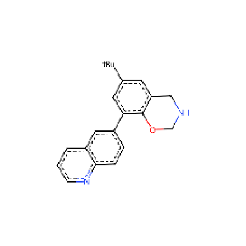 CC(C)(C)c1cc2c(c(-c3ccc4ncccc4c3)c1)OCNC2